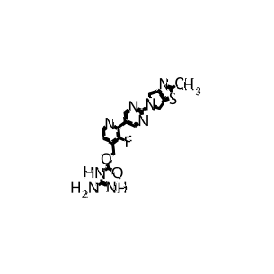 Cc1nc2c(s1)CN(c1ncc(-c3nccc(COC(=O)NC(=N)N)c3F)cn1)C2